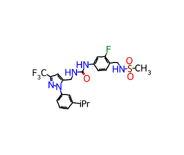 CC(C)c1cccc(-n2nc(C(F)(F)F)cc2CNC(=O)Nc2ccc(CNS(C)(=O)=O)c(F)c2)c1